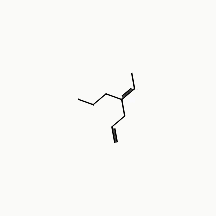 C=CC/C(=C/C)CCC